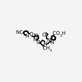 C[C@H]1C[C@@H](Oc2ccnc(COc3ccc(C#N)cn3)n2)CCN1Cc1nc2ccc(C(=O)O)cc2n1CC1CCO1